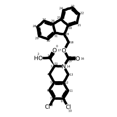 O=C(O)[C@@H]1Cc2cc(Cl)c(Cl)cc2CN1C(=O)OCC1c2ccccc2-c2ccccc21